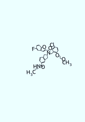 CCCNC(=O)c1ccc2c(c1)CC(N(Cc1cc(Cl)ccc1OCCOC)C(=O)c1cc3cc(F)ccc3o1)C2